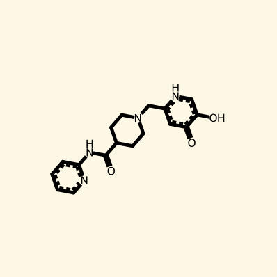 O=C(Nc1ccccn1)C1CCN(Cc2cc(=O)c(O)c[nH]2)CC1